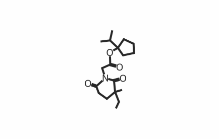 CCC1(C)CCC(=O)N(CC(=O)OC2(C(C)C)CCCC2)C1=O